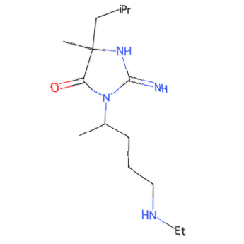 CCNCCCC(C)N1C(=N)NC(C)(CC(C)C)C1=O